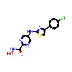 O=C(NO)c1ncc(Nc2nc(-c3ccc(Cl)cc3)cs2)cn1